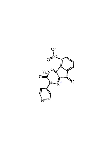 NC(=O)N(/N=c1/c(=O)c2cccc([N+](=O)[O-])c2c1=O)c1ccncc1